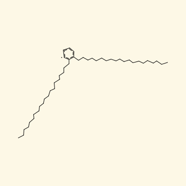 CCCCCCCCCCCCCCCCCCCCc1[c]cccc1CCCCCCCCCCCCCCCCCCCC